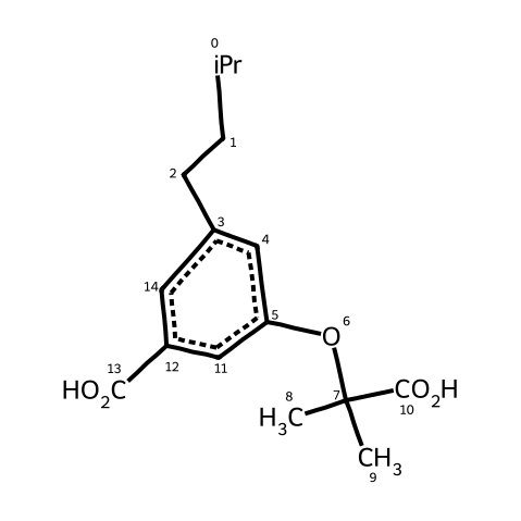 CC(C)CCc1cc(OC(C)(C)C(=O)O)cc(C(=O)O)c1